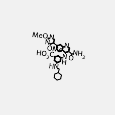 COc1ncc(-c2ccc3c(Nc4cc(NCC5CCCCC5)cc(C(=O)O)c4)c(C(N)=O)cnc3c2)c(OC)n1